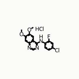 COc1cc2ncnc(Nc3ccc(Cl)cc3F)c2cc1OC.Cl